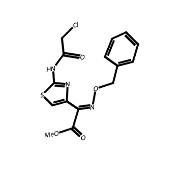 COC(=O)C(=NOCc1ccccc1)c1csc(NC(=O)CCl)n1